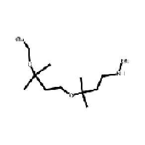 CC(C)(C)COC(C)(C)CCOC(C)(C)CCNC(C)(C)C